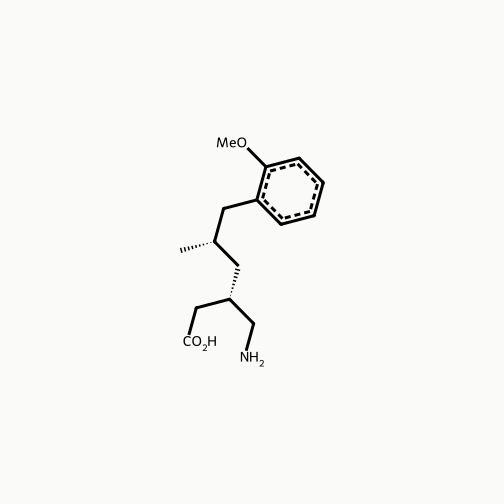 COc1ccccc1C[C@@H](C)C[C@H](CN)CC(=O)O